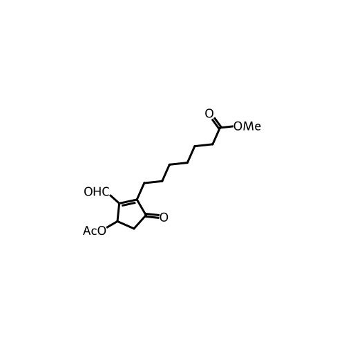 COC(=O)CCCCCCC1=C(C=O)C(OC(C)=O)CC1=O